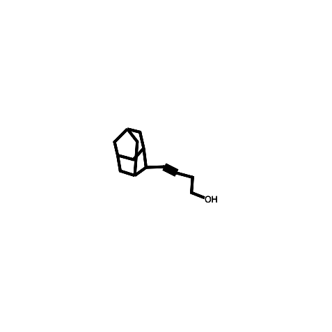 OCCC#CC1C2CC3CC(C2)CC1C3